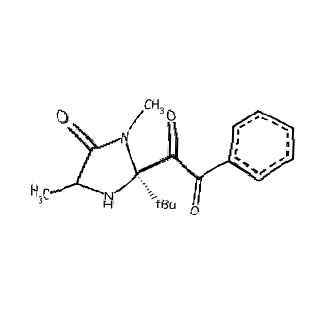 CC1N[C@@](C(=O)C(=O)c2ccccc2)(C(C)(C)C)N(C)C1=O